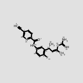 C#Cc1ccc(C(=O)Nc2ccc(F)c([C@H](C)/C=C(/C)OC(=N)N)c2)nc1